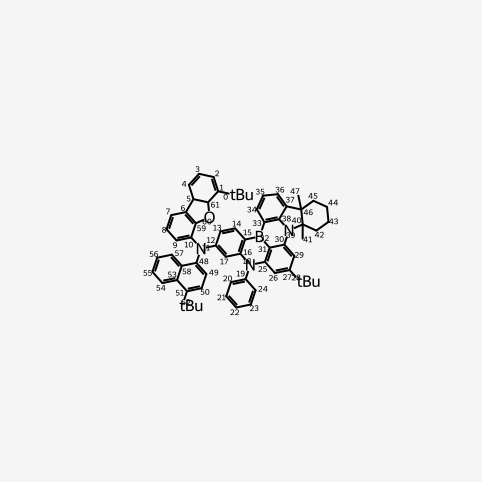 CC(C)(C)C1=CC=CC2c3cccc(N(c4ccc5c(c4)N(c4ccccc4)c4cc(C(C)(C)C)cc6c4B5c4cccc5c4N6C4(C)CCCCC54C)c4ccc(C(C)(C)C)c5ccccc45)c3OC12